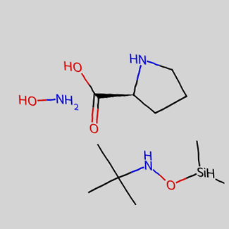 C[SiH](C)ONC(C)(C)C.NO.O=C(O)[C@@H]1CCCN1